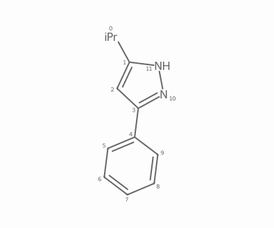 CC(C)c1cc(-c2ccccc2)n[nH]1